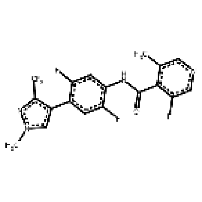 Cc1cncc(F)c1C(=O)Nc1cc(F)c(-c2cn(C)nc2C(F)(F)F)cc1F